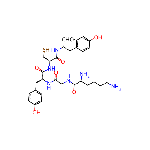 NCCCC[C@H](N)C(=O)NCC(=O)N[C@@H](Cc1ccc(O)cc1)C(=O)N[C@@H](CS)C(=O)N[C@H]([C]=O)Cc1ccc(O)cc1